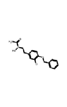 NC(=O)N(O)CCc1ccc(OCc2ccccc2)c(Cl)c1